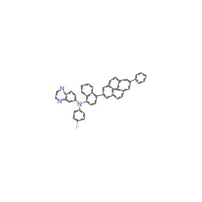 Fc1ccc(N(c2ccc3nccnc3c2)c2ccc(-c3cc4ccc5cc(-c6ccccc6)cc6ccc(c3)c4c56)c3ccccc23)cc1